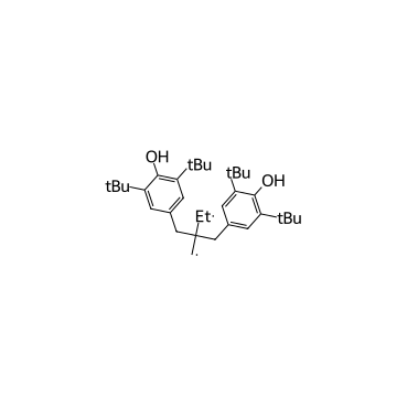 [CH2]C([CH]C)(Cc1cc(C(C)(C)C)c(O)c(C(C)(C)C)c1)Cc1cc(C(C)(C)C)c(O)c(C(C)(C)C)c1